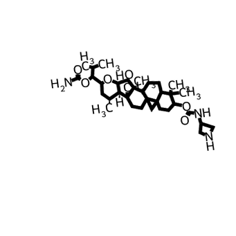 CC(C)C(OC(N)=O)C1C[C@@H](C)[C@H]2C(O1)[C@H](O)[C@@]1(C)C3CCC4C(C)(C)C(OC(=O)NC5CNC5)CCC45CC35CCC21C